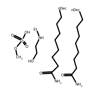 CCCCCCCCCCCCCCCCCC(N)=O.CCCCCCCCCCCCCCCCCC(N)=O.CCNCCO.COS(=O)(=O)O